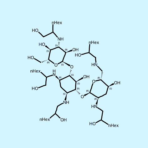 CCCCCCC(O)CNC[C@H]1O[C@H](O[C@H]2[C@H](O)[C@@H](O[C@H]3O[C@H](CO)[C@@H](O)[C@H](NC(CO)CCCCCC)[C@H]3O)[C@H](NC(CO)CCCCCC)C[C@@H]2NCC(O)CCCCCC)[C@H](NCC(O)CCCCCC)C[C@@H]1O